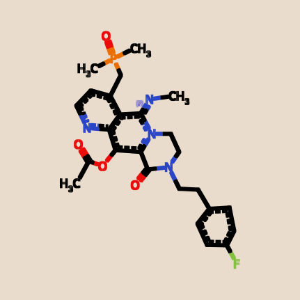 C/N=c1/c2c(CP(C)(C)=O)ccnc2c(OC(C)=O)c2n1CCN(CCc1ccc(F)cc1)C2=O